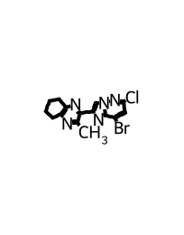 Cc1nc2c(nc1-c1cn3nc(Cl)cc(Br)c3n1)CCCC2